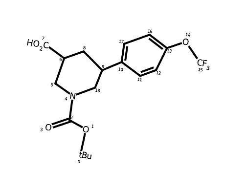 CC(C)(C)OC(=O)N1CC(C(=O)O)CC(c2ccc(OC(F)(F)F)cc2)C1